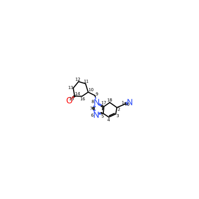 N#CC1C=Cc2ncn(CC3CCCC(=O)C3)c2C1